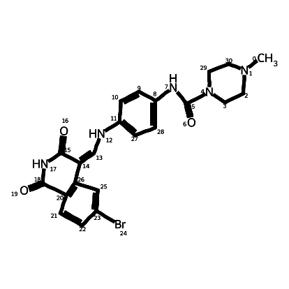 CN1CCN(C(=O)Nc2ccc(NC=C3C(=O)NC(=O)c4ccc(Br)cc43)cc2)CC1